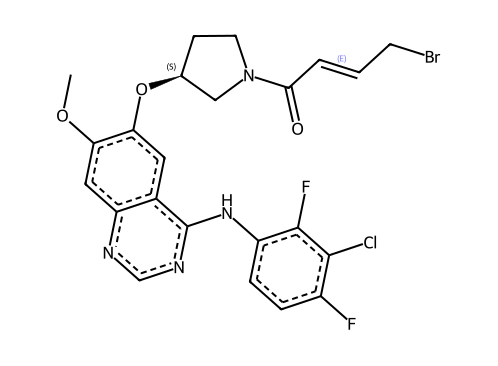 COc1cc2ncnc(Nc3ccc(F)c(Cl)c3F)c2cc1O[C@H]1CCN(C(=O)/C=C/CBr)C1